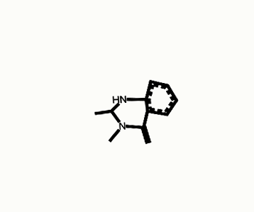 C=C1c2ccccc2NC(C)N1C